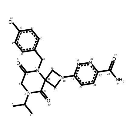 CC(C)N1CC(=O)N(Cc2ccc(Cl)cc2)C2(CN(c3ccc(C(N)=O)nn3)C2)C1=O